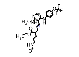 CCOC(=O)C(C/C=C/c1c(NC)ncnc1Nc1ccc(OC(F)(F)F)cc1)CCCNC=O